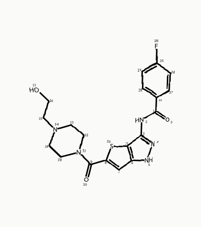 O=C(Nc1n[nH]c2cc(C(=O)N3CCN(CCO)CC3)sc12)c1ccc(F)cc1